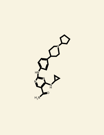 NC(=O)c1cnc(Nc2ccc(C3CCN(C4CCCC4)CC3)cc2)nc1NC1CC1